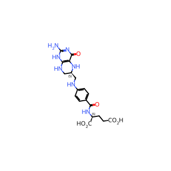 Nc1nc(=O)c2c([nH]1)NC[C@H](CNc1ccc(C(=O)N[C@@H](CCC(=O)O)C(=O)O)cc1)N2